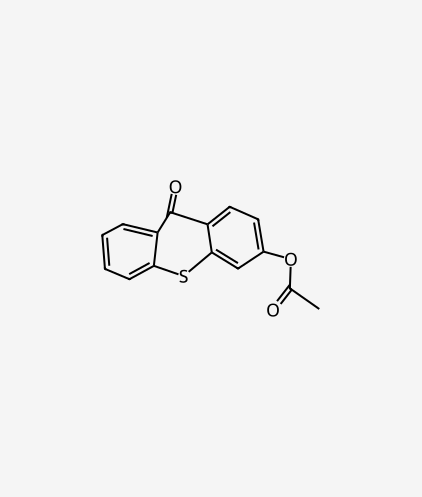 CC(=O)Oc1ccc2c(=O)c3ccccc3sc2c1